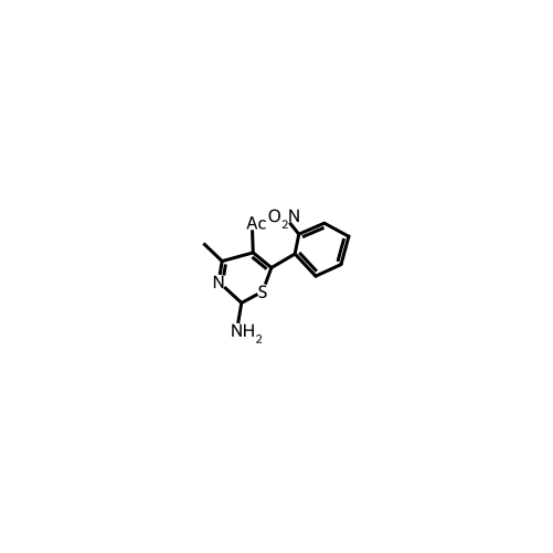 CC(=O)C1=C(c2ccccc2[N+](=O)[O-])SC(N)N=C1C